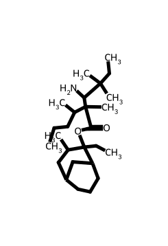 CCCC(C)C(C)(C(=O)OC1(CC)C(C)CC2CCCC1C2)C(N)C(C)(C)CC